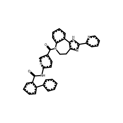 O=C(Nc1ccc(C(=O)N2CCc3nc(-c4ccccn4)[nH]c3-c3ccccc32)cn1)c1ccccc1-c1ccccc1